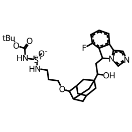 CC(C)(C)OC(=O)N[S@@+]([O-])NCCCOC1C2CC3CC1CC(C(O)CC1c4c(F)cccc4-c4cncn41)(C3)C2